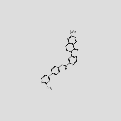 CSc1ncc2c(n1)CCN(c1cc(NCc3ccc(-c4ccnc(C)c4)cc3)ncn1)C2=O